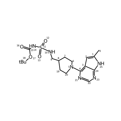 Cc1cc2c(N3CCC(CNS(=O)(=O)NC(=O)OC(C)(C)C)CC3)ncnc2[nH]1